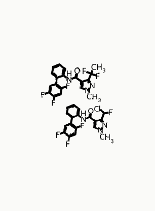 Cn1cc(C(=O)Nc2ccccc2-c2cc(F)c(F)cc2F)c(C(C)(F)F)n1.Cn1cc(C(=O)Nc2ccccc2-c2cc(F)c(F)cc2F)c(C(F)Cl)n1